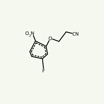 N#CCCOc1cc(F)ccc1[N+](=O)[O-]